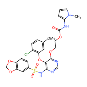 COc1ccc(Cl)c(Oc2c(NS(=O)(=O)c3ccc4c(c3)OCO4)ncnc2OCCOC(=O)Nc2cccn2C)c1